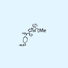 CCCCO[C@H]1CC[C@H](NC(=O)c2ccn3c(C)cc(COC)nc23)CC1